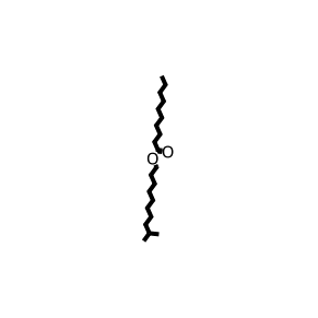 CCCCCCCCCC(=O)OCCCCCCCCC(C)C